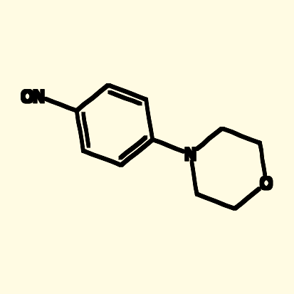 O=Nc1ccc(N2CCOCC2)cc1